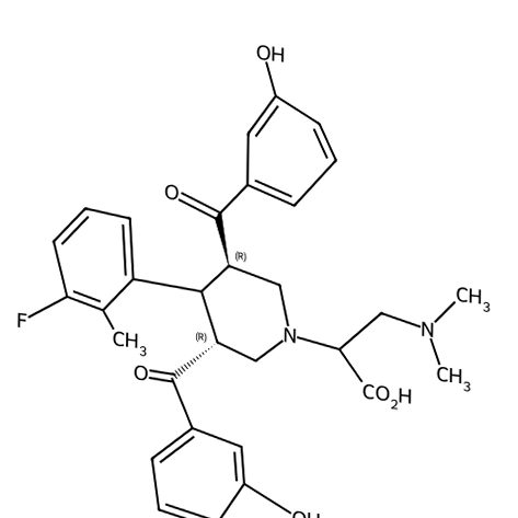 Cc1c(F)cccc1C1[C@@H](C(=O)c2cccc(O)c2)CN(C(CN(C)C)C(=O)O)C[C@@H]1C(=O)c1cccc(O)c1